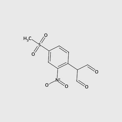 CS(=O)(=O)c1ccc(C(C=O)C=O)c([N+](=O)[O-])c1